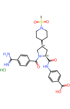 CS(=O)(=O)N1CCC([C@H]2C[C@@H](C(=O)Nc3ccc(C(=O)O)cc3)N(C(=O)c3ccc(C(=N)N)cc3)C2)CC1.Cl